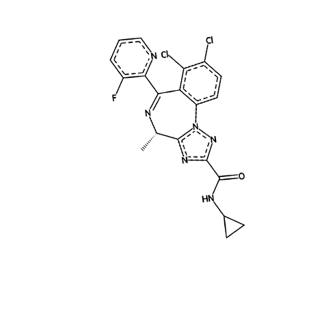 C[C@@H]1N=C(c2ncccc2F)c2c(ccc(Cl)c2Cl)-n2nc(C(=O)NC3CC3)nc21